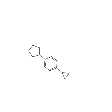 c1cc(C2CC2)ccc1C1CCCC1